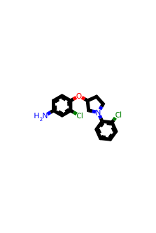 Nc1ccc(OC2CCN(c3ccccc3Cl)C2)c(Cl)c1